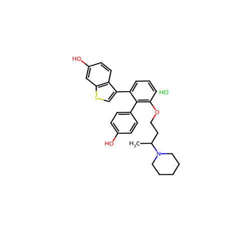 CC(CCOc1cccc(-c2csc3cc(O)ccc23)c1-c1ccc(O)cc1)N1CCCCC1.Cl